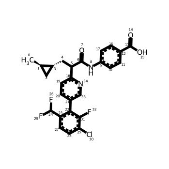 C[C@@H]1C[C@H]1CC(C(=O)Nc1ccc(C(=O)O)cc1)c1ccc(-c2c(C(F)F)ccc(Cl)c2F)cn1